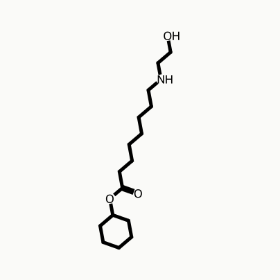 O=C(CCCCCCCNCCO)OC1CCCCC1